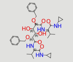 CC(C)[C@H](NC(=O)[C@H](OCc1ccccc1)[C@H](O)[C@@H](O)[C@@H](OCc1ccccc1)C(=O)N[C@H](C(=O)NC1CC1)C(C)C)C(=O)NC1CC1